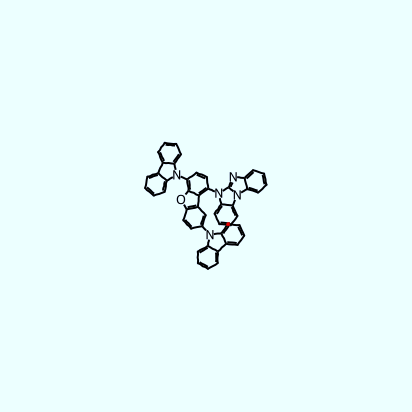 c1ccc2c(c1)nc1n(-c3ccc(-n4c5ccccc5c5ccccc54)c4oc5ccc(-n6c7ccccc7c7ccccc76)cc5c34)c3ccccc3n21